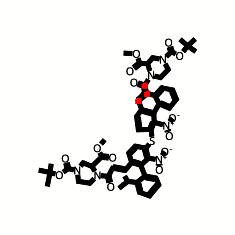 COC(=O)C1CN(C(=O)OC(C)(C)C)CCN1C(=O)/C=C/c1ccc(Sc2ccc(/C=C/C(=O)N3CCN(C(=O)OC(C)(C)C)CC3C(=O)OC)c(-c3ccccc3C(C)C)c2[N+](=O)[O-])c([N+](=O)[O-])c1-c1ccccc1C(C)C